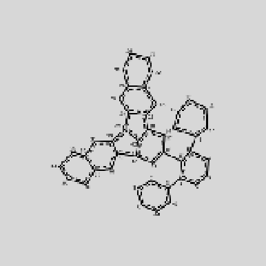 c1ccc(-c2cccc(-c3ccccc3)c2-c2cc3c4cc5ccccc5cc4n4c5cc6ccccc6cc5c(c2)c34)cc1